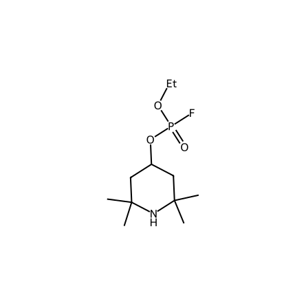 CCOP(=O)(F)OC1CC(C)(C)NC(C)(C)C1